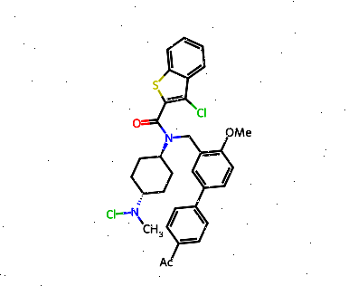 COc1ccc(-c2ccc(C(C)=O)cc2)cc1CN(C(=O)c1sc2ccccc2c1Cl)[C@H]1CC[C@H](N(C)Cl)CC1